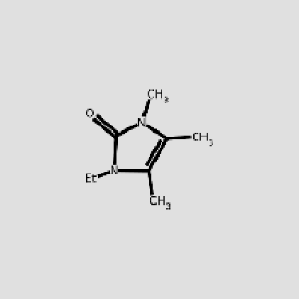 CCn1c(C)c(C)n(C)c1=O